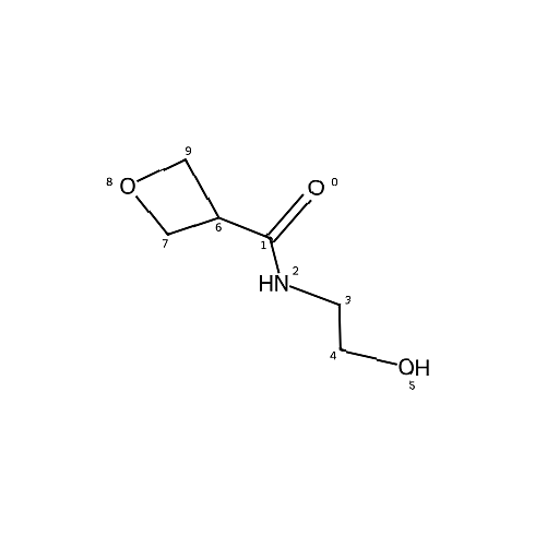 O=C(NCCO)C1COC1